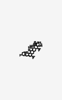 CN(C)c1cc(CN2CCCC(F)C2)c(O)c2c1CC1CC3C(C(O)=C1C2=O)C(O)(O)C(C(N)=O)=C(O)[C@H]3N(C)C